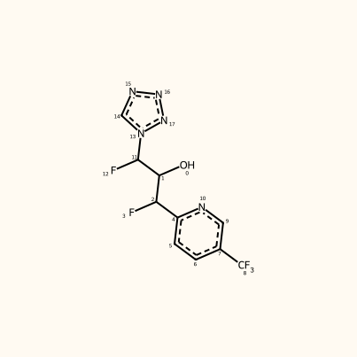 OC(C(F)c1ccc(C(F)(F)F)cn1)C(F)n1cnnn1